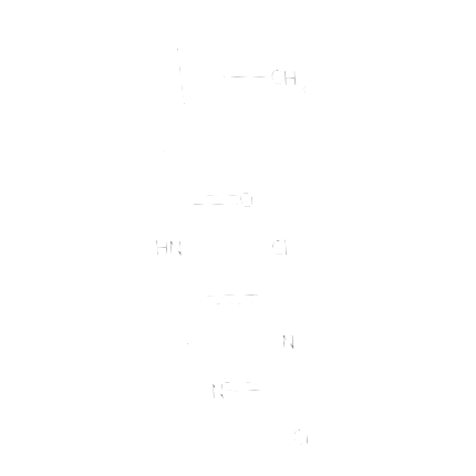 CC1CC1CC(=O)Nc1cnc(Cl)nc1Cl